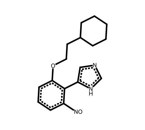 O=Nc1cccc(OCCC2CCCCC2)c1-c1cnc[nH]1